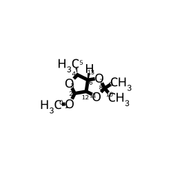 COC1O[C@H](C)[C@@H]2OC(C)(C)OC12